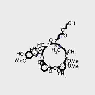 CO[C@H]1C[C@@H](C)C/C(C)=C/[C@@H](C/C=C/C(=O)OCCO)C(=O)C[C@H](O)[C@@H](C)[C@@H](/C(C)=C/[C@@H]2CC[C@@H](O)[C@H](OC)C2)OC(=O)[C@@H]2CCCCN2C(=O)C[C@]2(O)O[C@H]1[C@@H](OC)C[C@H]2C